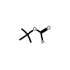 CC(C)(C)OC(=O)[P]